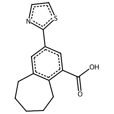 O=C(O)c1cc(-c2nccs2)cc2c1CCCCC2